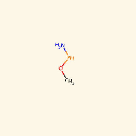 COPN